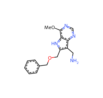 COc1ncnc2c(CN)c(COCc3ccccc3)[nH]c12